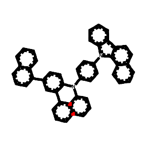 c1ccc(-c2cc(-c3cccc4ccccc34)ccc2N(c2ccccc2)c2ccc(-n3c4ccccc4c4ccc5ccccc5c43)cc2)cc1